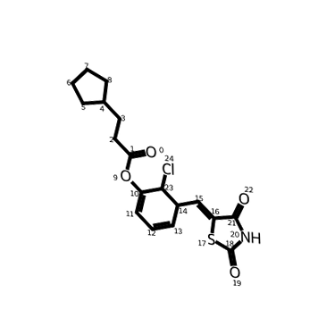 O=C(CCC1CCCC1)OC1=CC=CC(/C=C2\SC(=O)NC2=O)C1Cl